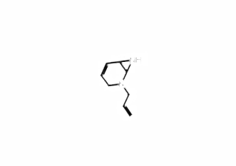 C=CCN1CC=CC2NC21